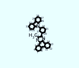 Cc1nc2c3ccccc3c3ccccc3c2nc1-c1cccc(-n2c3ccccc3c3ccccc32)c1